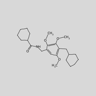 COc1cc(CNC(=O)C2CCCCC2)c(OC)c(OC)c1CC1CCCCC1